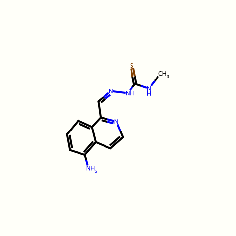 CNC(=S)N/N=C\c1nccc2c(N)cccc12